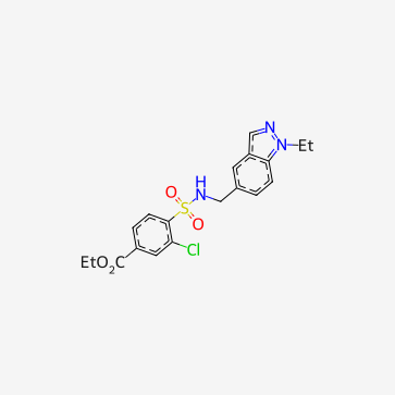 CCOC(=O)c1ccc(S(=O)(=O)NCc2ccc3c(cnn3CC)c2)c(Cl)c1